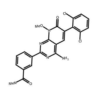 CNC(=O)c1cccc(-c2nc(N)c3cc(-c4c(Cl)cccc4Cl)c(=O)n(OC)c3n2)c1